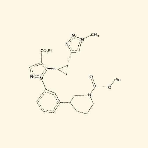 CCOC(=O)c1cnn(-c2cccc(C3CCCN(C(=O)OC(C)(C)C)C3)c2)c1[C@@H]1C[C@H]1c1cn(C)nn1